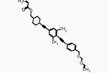 C=COCOCc1ccc(C#Cc2c(C)cc(C#CC3CCC(COC(=O)C=C)CC3)cc2C)cc1